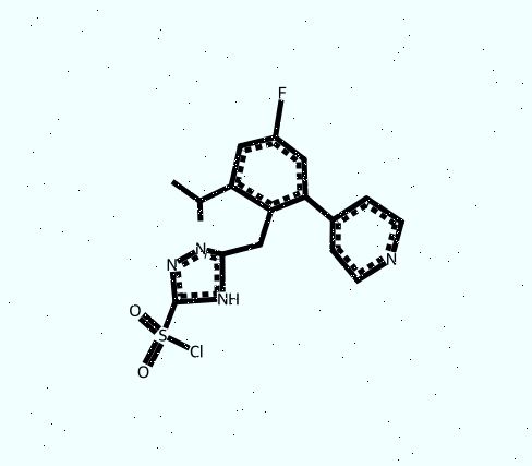 CC(C)c1cc(F)cc(-c2ccncc2)c1Cc1nnc(S(=O)(=O)Cl)[nH]1